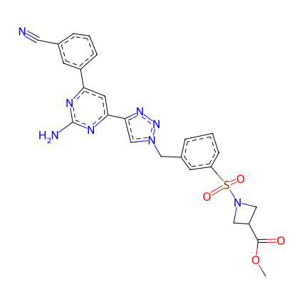 COC(=O)C1CN(S(=O)(=O)c2cccc(Cn3cc(-c4cc(-c5cccc(C#N)c5)nc(N)n4)nn3)c2)C1